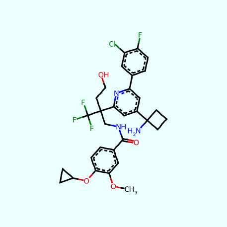 COc1cc(C(=O)NCC(CCO)(c2cc(C3(N)CCC3)cc(-c3ccc(F)c(Cl)c3)n2)C(F)(F)F)ccc1OC1CC1